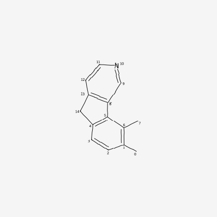 Cc1ccc2c(c1C)-c1cnccc1C2